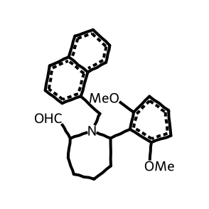 COc1cccc(OC)c1C1CCCCC(C=O)N1Cc1cccc2ccccc12